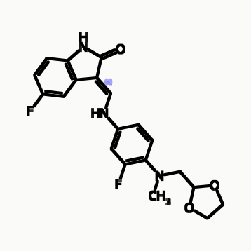 CN(CC1OCCO1)c1ccc(N/C=C2/C(=O)Nc3ccc(F)cc32)cc1F